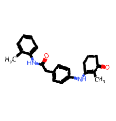 CC1=C(Nc2ccc(CC(=O)Nc3ccccc3C)cc2)CCCC1=O